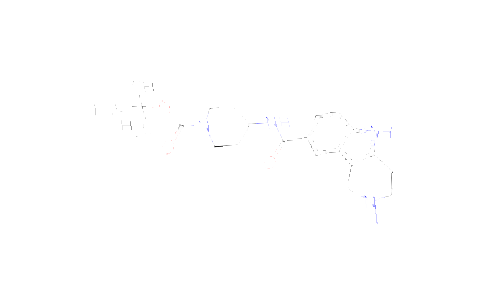 CC(C)(C)OC(=O)N1CCC(NC(=O)c2ccc3[nH]c4c(c3c2)CNCC4)CC1